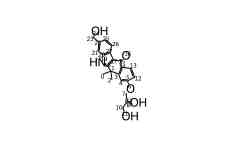 CC1(C)c2cc(OC[C@@H](O)CO)ccc2C(=O)c2c1[nH]c1cc(CO)ccc21